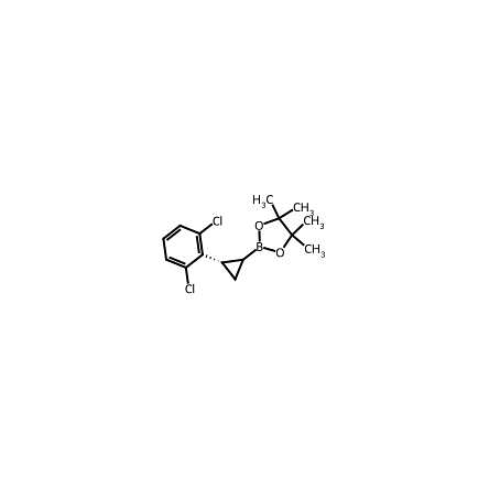 CC1(C)OB(C2C[C@@H]2c2c(Cl)cccc2Cl)OC1(C)C